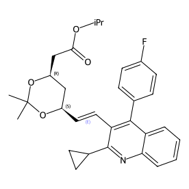 CC(C)OC(=O)C[C@H]1C[C@@H](/C=C/c2c(C3CC3)nc3ccccc3c2-c2ccc(F)cc2)OC(C)(C)O1